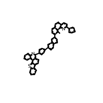 Cc1c(-c2ccc3ccc(-c4ccc(-c5nc6ccccc6c6c5ccc5c7ccccc7sc56)cc4)cc3c2)ccc2ccc3ccc(-c4ccccc4)nc3c12